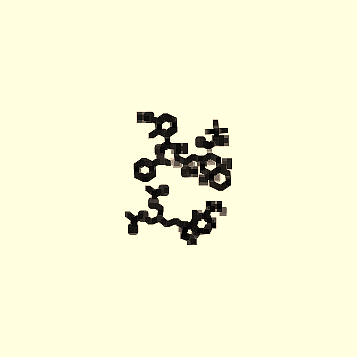 CC(=O)OCC(CCn1cnc2cnc(N)nc21)COC(C)=O.Cc1c(O)cccc1C(=O)N[C@@H](CSc1ccccc1)[C@H](O)CN1C[C@H]2CCCC[C@H]2C[C@H]1C(=O)NC(C)(C)C